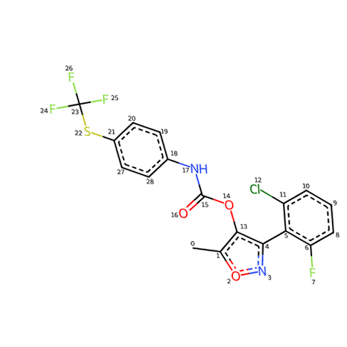 Cc1onc(-c2c(F)cccc2Cl)c1OC(=O)Nc1ccc(SC(F)(F)F)cc1